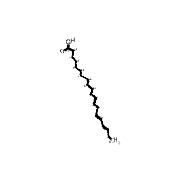 CCC=CC=CCC=CCCCCCCCCCCC(=O)O